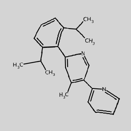 Cc1cc(-c2c(C(C)C)cccc2C(C)C)ncc1-c1ccccn1